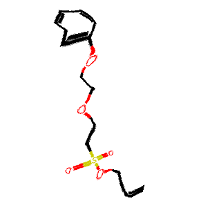 C=CCOS(=O)(=O)CCOCCOc1ccccc1